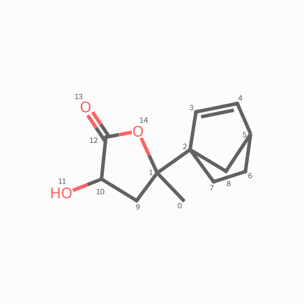 CC1(C23C=CC(CC2)C3)CC(O)C(=O)O1